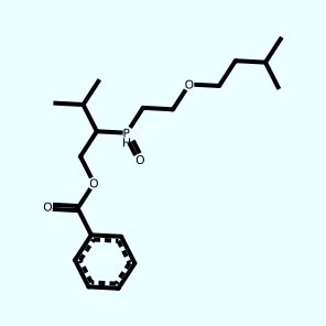 CC(C)CCOCC[PH](=O)C(COC(=O)c1ccccc1)C(C)C